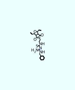 C=CC1OC(C=C)C2C(=O)N(CCNC(=S)/N=C(\N)NCc3ccccc3)C(=O)C12